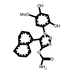 COc1cc(-n2nnc(OC(N)=O)c2-c2cccc3ccccc23)c(O)cc1O